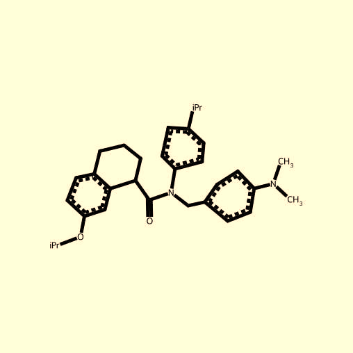 CC(C)Oc1ccc2c(c1)C(C(=O)N(Cc1ccc(N(C)C)cc1)c1ccc(C(C)C)cc1)CCC2